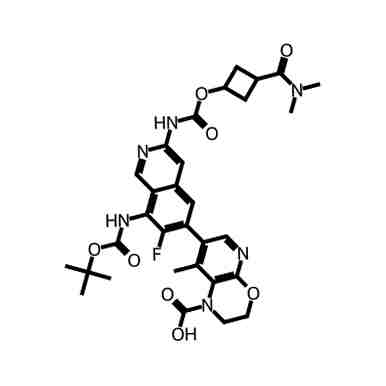 Cc1c(-c2cc3cc(NC(=O)OC4CC(C(=O)N(C)C)C4)ncc3c(NC(=O)OC(C)(C)C)c2F)cnc2c1N(C(=O)O)CCO2